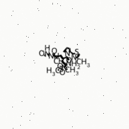 C=C(/C=C(\C=C(/N)N(C)S(C)(=O)=O)C(=O)N1CCCC1c1nc(C)cs1)C(=O)NNC=O